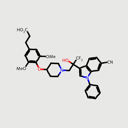 COc1cc(CCC(=O)O)cc(OC)c1OC1CCN(CC(O)(c2cn(-c3ccccc3)c3cc(C#N)ccc23)C(F)(F)F)CC1